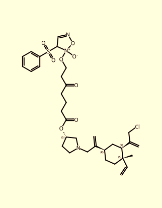 C=C[C@]1(C)CC[C@@H](C(=C)CN2CC[C@H](OC(=O)CCCC(=O)CCO[N+]3([O-])ON=CC3S(=O)(=O)c3ccccc3)C2)C[C@H]1C(=C)CCl